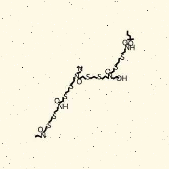 C=CCN(C)C(=O)CCSCCCSCCCNC(=O)CCSCCCSCCCN(CCN(C)C)C(=O)CCSCCCSCCCN(CCO)C(=O)CCSCCCSCCCNC(=O)OC(C)(C)CCC